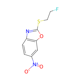 O=[N+]([O-])c1ccc2nc(SCCF)oc2c1